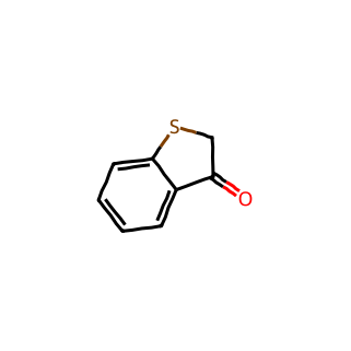 O=C1CSc2ccccc21